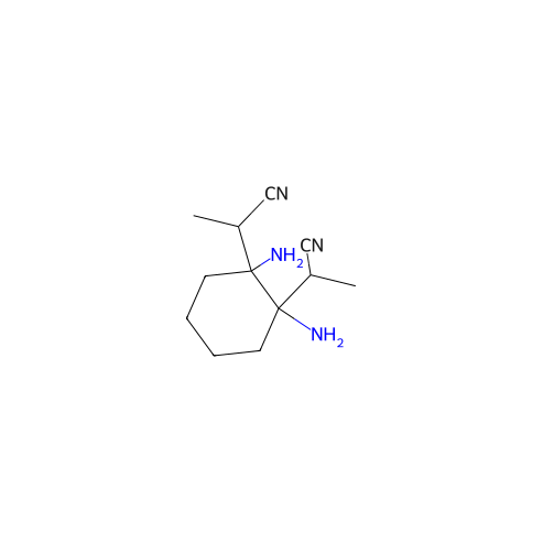 CC(C#N)C1(N)CCCCC1(N)C(C)C#N